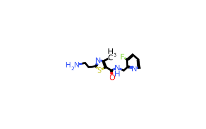 Cc1nc(CCN)sc1C(=O)NCc1ncccc1F